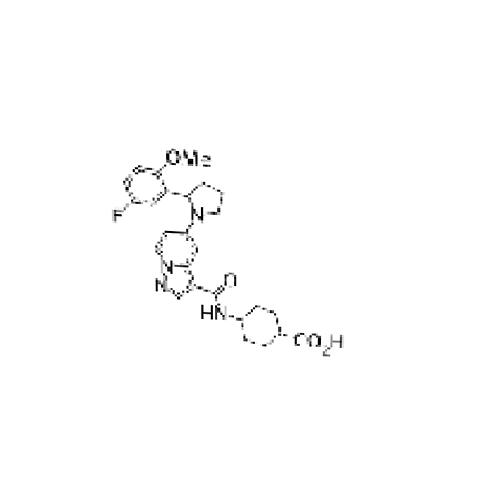 COc1ccc(F)cc1C1CCCN1c1ccn2ncc(C(=O)NC3CCC(C(=O)O)CC3)c2c1